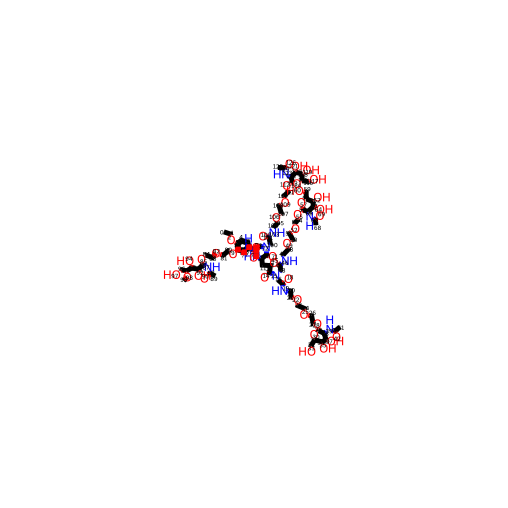 CCOc1ccc(C(=O)NC(CCC(=O)N(CC(=O)NCCOCCOCCOC2OC(CO)C(O)C(O)C2NC(C)=O)CC(=O)NCCOCCOCCOC2OC(CO)C(O)C(O)C2NC(C)=O)C(=O)N(CC(=O)NCCOCCOCCOC(NC(C)=O)C(O)C(O)C(CO)OC)CC(=O)NCCOCCOCCOC2OC(CO)C(O)C(O)C2NC(C)=O)cc1